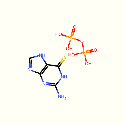 Nc1nc2nc[nH]c2c(=S)[nH]1.O=P(O)(O)OP(=O)(O)O